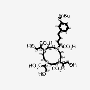 CCCCOc1cccc(CCC[C@@H](C(=O)O)N2CCN(C(CO)C(=O)O)CCN(C(CO)C(=O)O)CCN(C(CO)C(=O)O)CC2)c1